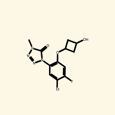 CCc1cc(-n2nnn(C)c2=O)c(OC2CC(O)C2)cc1F